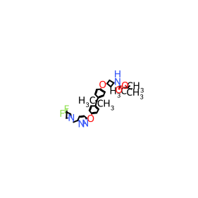 CC(C)(C)OC(=O)NC1CC(Oc2ccc(C(C)(C)c3ccc(Oc4ccc(CN5CC(F)(F)C5)nn4)cc3)cc2)C1